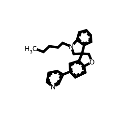 CCCCCN1CC2(COc3ccc(-c4cccnc4)cc32)c2ccccc21